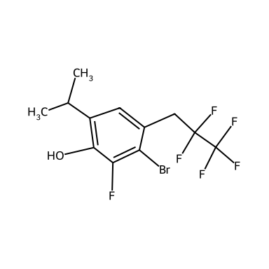 CC(C)c1cc(CC(F)(F)C(F)(F)F)c(Br)c(F)c1O